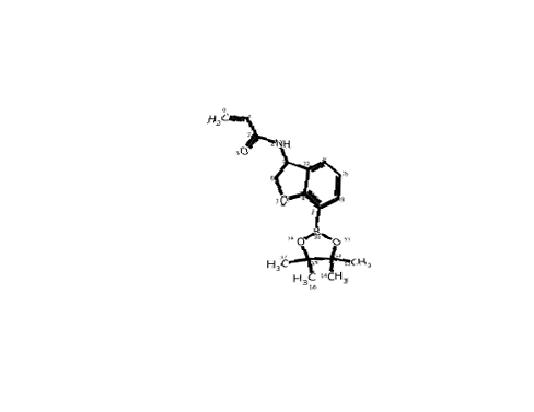 C=CC(=O)NC1COc2c(B3OC(C)(C)C(C)(C)O3)cccc21